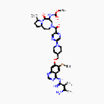 C/C(N)=C(\C)C(=N)Nc1ncnc2cc(OCC3CCN(c4cnc(C(=O)N5CCC6CCC(C=O)N6C(=O)C(NC(=O)OC(C)(C)C)C5)cn4)CC3)c(SC(C)(C)C)cc12